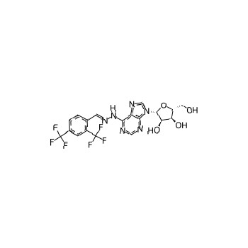 OC[C@H]1O[C@@H](n2cnc3c(NN=Cc4ccc(C(F)(F)F)cc4C(F)(F)F)ncnc32)[C@H](O)[C@@H]1O